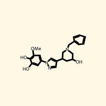 COc1cc(-n2cc(C3CC(O)CN(Cc4ccccc4)C3)cn2)cc(O)c1O